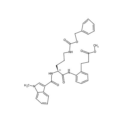 COC(=O)CCc1ccccc1NC(=O)[C@H](CCCNC(=O)OCc1ccccc1)NC(=O)c1cn(C)c2ccccc12